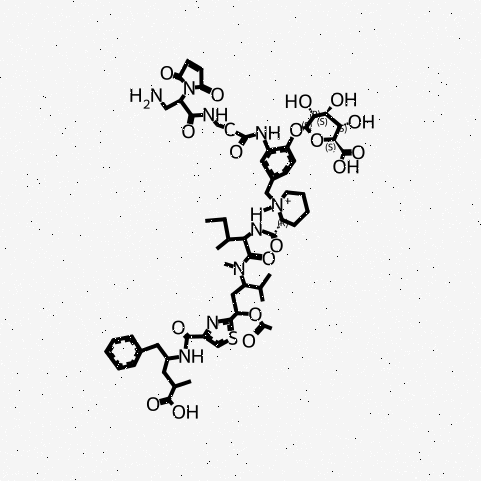 CCC(C)C(NC(=O)[C@H]1CCCC[N+]1(C)Cc1ccc(O[C@@H]2O[C@H](C(=O)O)[C@@H](O)[C@H](O)[C@H]2O)c(NC(=O)CCNC(=O)C(CN)N2C(=O)C=CC2=O)c1)C(=O)N(C)C(CC(OC(C)=O)c1nc(C(=O)NC(Cc2ccccc2)CC(C)C(=O)O)cs1)C(C)C